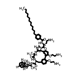 CCCCCCCCCCCCCc1ccc(C(=O)N[C@@H](CCN)C(=O)N(C)[C@@H]2C(=O)N[C@@H](C)C(=O)N[C@H](C(=O)N[C@@H](C)B3O[C@@H]4C[C@@H]5C[C@@H](C5(C)C)[C@]4(C)O3)Cc3ccc(OCCN)c(c3)-c3cc2ccc3OCCN)cc1